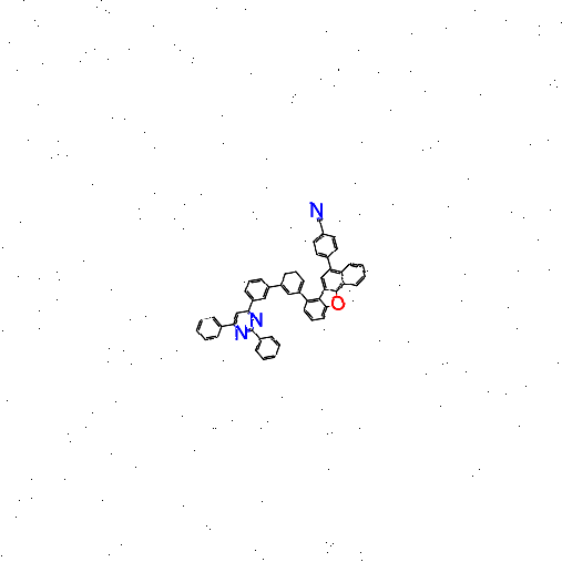 N#Cc1ccc(-c2cc3c(oc4cccc(C5=CCCC(c6cccc(-c7cc(-c8ccccc8)nc(-c8ccccc8)n7)c6)=C5)c43)c3ccccc23)cc1